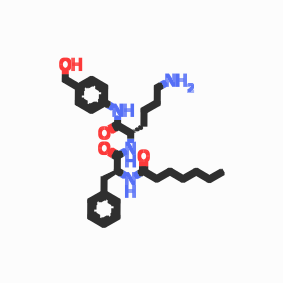 CCCCCCC(=O)N[C@@H](Cc1ccccc1)C(=O)N[C@@H](CCCCN)C(=O)Nc1ccc(CO)cc1